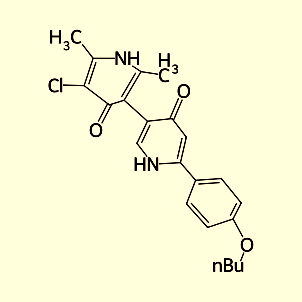 CCCCOc1ccc(-c2cc(=O)c(-c3c(C)[nH]c(C)c(Cl)c3=O)c[nH]2)cc1